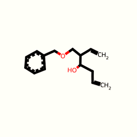 C=CCC(O)C(C=C)COCc1ccccc1